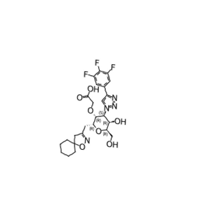 O=C(O)CO[C@@H]1[C@@H](n2cc(-c3cc(F)c(F)c(F)c3)nn2)[C@@H](O)[C@@H](CO)O[C@@H]1CC1=NOC2(CCCCC2)C1